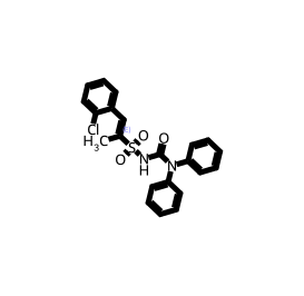 C/C(=C\c1ccccc1Cl)S(=O)(=O)NC(=O)N(c1ccccc1)c1ccccc1